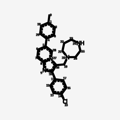 Cc1ccc(-c2ccc3nc(-c4ccc(Cl)cc4)c(CN4CCCNCC4)n3c2)cc1